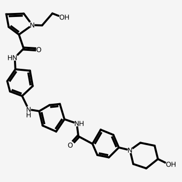 O=C(Nc1ccc(Nc2ccc(NC(=O)c3cccn3CCO)cc2)cc1)c1ccc(N2CCC(O)CC2)cc1